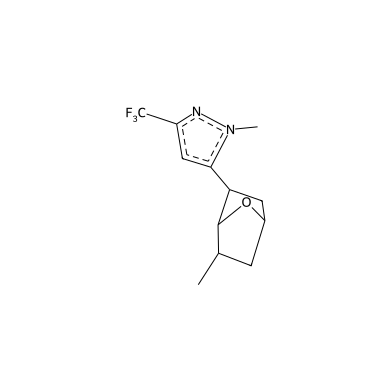 CC1CC2CC(c3cc(C(F)(F)F)nn3C)C1O2